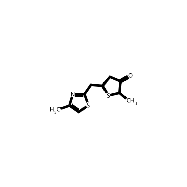 Cc1csc(CC2CC(=O)C(C)S2)n1